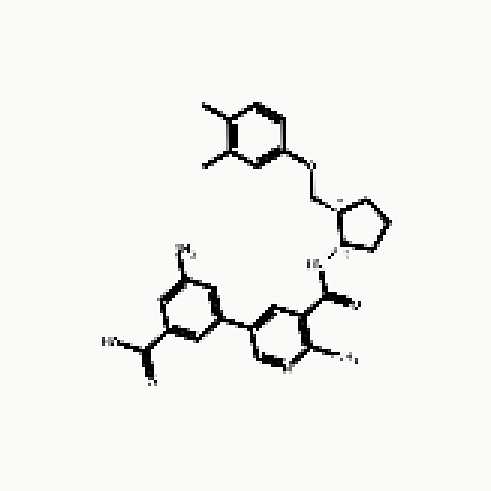 Cc1ccc(OC[C@H]2CCC[C@@H]2NC(=O)c2cc(-c3cc(N)cc(C(=O)O)c3)cnc2N)cc1C